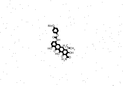 COc1ccc(OC(=O)Nc2ccc(O)c3c2CC2CC4C(C(=O)C(C(N)=O)=C(O)[C@H]4N(C)C)C(O)=C2C3=O)cc1